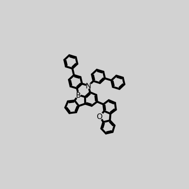 c1ccc(-c2cccc(N3c4cc(-c5ccccc5)ccc4B4c5ccccc5-c5cc(-c6cccc7c6oc6ccccc67)cc3c54)c2)cc1